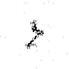 CCN[C@H](C)c1cc(-c2cn3ncnc3c(OCCOCCC(N)CC(F)(F)CC)n2)c(C)cn1